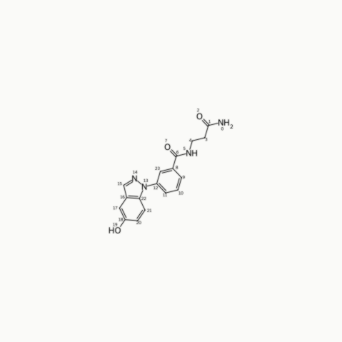 NC(=O)CCNC(=O)c1cccc(-n2ncc3cc(O)ccc32)c1